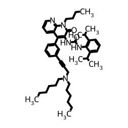 CCCCCCN(CC#Cc1cccc(-c2c(NC(=O)Nc3c(C(C)C)cccc3C(C)C)c(=O)n(CCCC)c3ncccc23)c1)CCCCCC